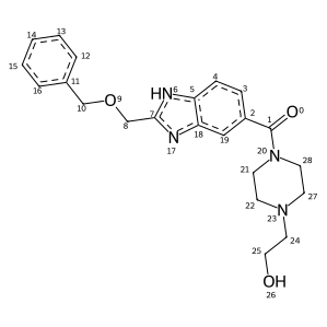 O=C(c1ccc2[nH]c(COCc3ccccc3)nc2c1)N1CCN(CCO)CC1